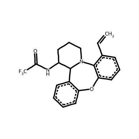 C=Cc1cccc2c1N1CCCC(NC(=O)C(F)(F)F)C1c1ccccc1O2